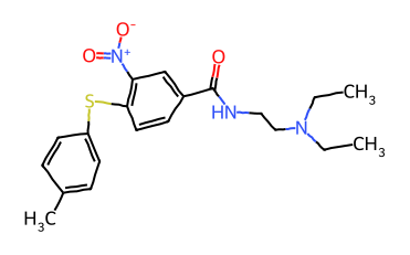 CCN(CC)CCNC(=O)c1ccc(Sc2ccc(C)cc2)c([N+](=O)[O-])c1